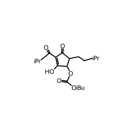 CC(C)CCC1C(=O)C(C(=O)C(C)C)=C(O)C1OC(=O)OCC(C)C